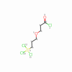 O=C(Cl)CCOCCCS(Cl)(Cl)Cl